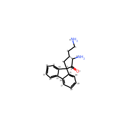 NCCCCC1(C(=O)CN)c2ccccc2-c2ccccc21